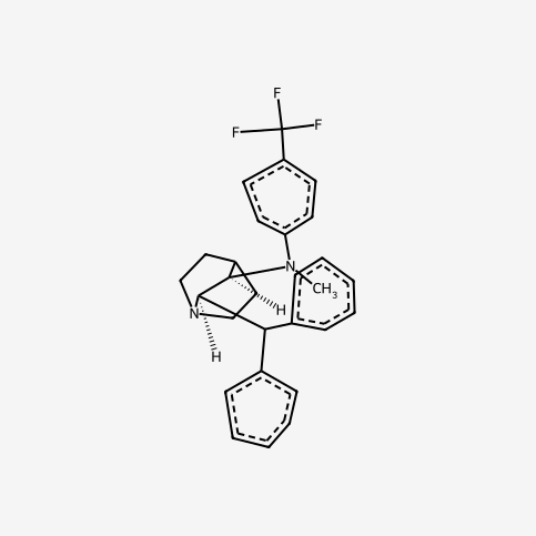 CN(c1ccc(C(F)(F)F)cc1)[C@@H]1C2CCN(CC2)[C@@H]1C(c1ccccc1)c1ccccc1